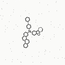 C1=Cc2oc3ccc(N(c4ccc(-c5ccccc5)cc4)c4ccc5ccc6c7ccccc7ccc6c5c4)cc3c2CC1